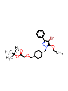 CCOc1c(Br)c(-c2ccccc2)nn1C[C@H]1CC[C@H](COCC(=O)OC(C)(C)C)CC1